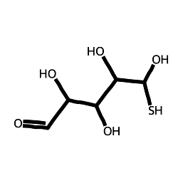 O=CC(O)C(O)C(O)C(O)S